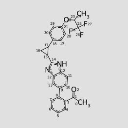 CC(=O)c1ccccc1-c1ccc2[nH]c(C3CC3c3ccc(OC(C)C(F)(F)F)cc3)nc2c1